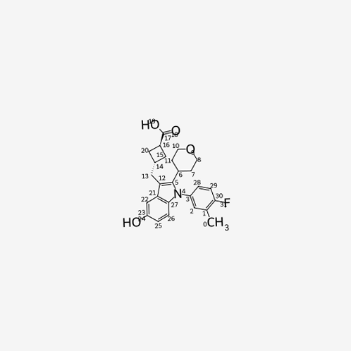 Cc1cc(-n2c(C3CCOCC3)c(C[C@H]3C[C@H](C(=O)O)C3)c3cc(O)ccc32)ccc1F